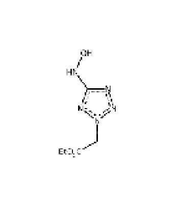 CCOC(=O)Cn1nnc(NO)n1